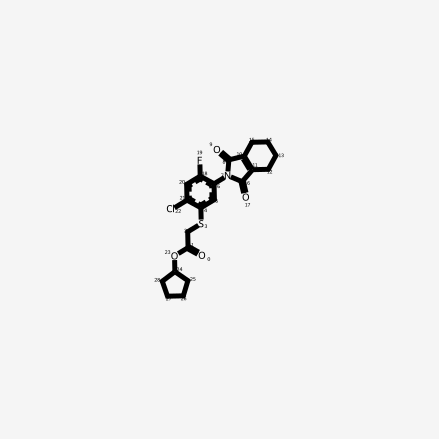 O=C(CSc1cc(N2C(=O)C3=C(CCCC3)C2=O)c(F)cc1Cl)OC1CCCC1